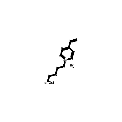 C=Cc1cc[n+](CCCCCCCCCCCC)cc1.[Br-]